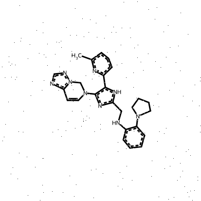 Cc1cccc(-c2[nH]c(CNc3ccccc3N3CCCC3)nc2N2C=Cc3ncnn3C2)n1